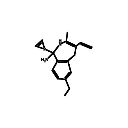 C=CC1=C(C)NC(N)(P2C=C2)c2ccc(CC)cc2C1